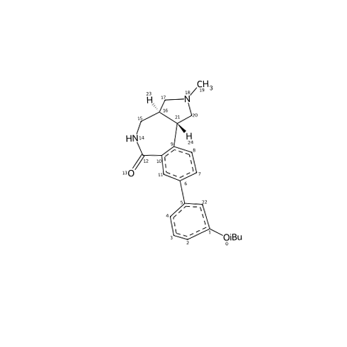 CC(C)COc1cccc(-c2ccc3c(c2)C(=O)NC[C@H]2CN(C)C[C@H]32)c1